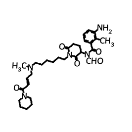 Cc1c(N)cccc1C(=O)N(C=O)C1CCC(=O)N(CCCCCCN(C)C/C=C/C(=O)N2CCCCC2)C1=O